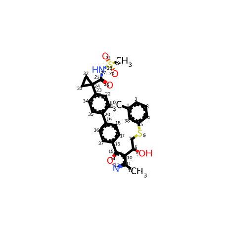 Cc1cccc(SCC(O)c2c(C)noc2-c2ccc(-c3ccc(C4(C(=O)NS(C)(=O)=O)CC4)cc3)cc2)c1